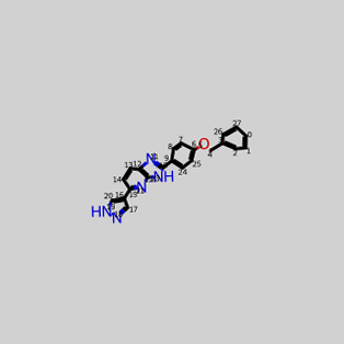 c1ccc(COc2ccc(-c3nc4ccc(-c5cn[nH]c5)nc4[nH]3)cc2)cc1